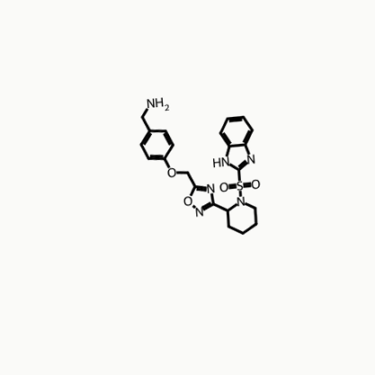 NCc1ccc(OCc2nc(C3CCCCN3S(=O)(=O)c3nc4ccccc4[nH]3)no2)cc1